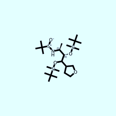 C[C@H](N[S+]([O-])C(C)(C)C)[C@H](O[Si](C)(C)C(C)(C)C)C(O[Si](C)(C)C(C)(C)C)C1CCOC1